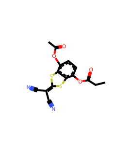 CCC(=O)Oc1ccc(OC(C)=O)c2c1SC(=C(C#N)C#N)S2